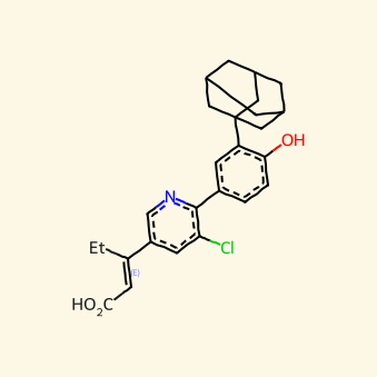 CC/C(=C\C(=O)O)c1cnc(-c2ccc(O)c(C34CC5CC(CC(C5)C3)C4)c2)c(Cl)c1